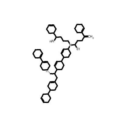 C=C(CCC(CC)N(CCCC(CCC)C1CC=CCC1)C1C=CC(C2C=CC(C(CC3=CCC(C4CC=CCC4)CC3)C[C@H]3CC=C(C4=CCCCC4)CC3)CC2)CC1)C1=CCCCC1